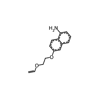 C=COCCOc1ccc2c(N)cccc2c1